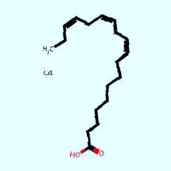 CC/C=C\C/C=C\C/C=C\CCCCCCCC(=O)O.[Cd]